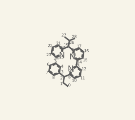 CCC(c1ccccc1)c1cccc(-c2cccc(C(c3ccccn3)C(C)C)n2)n1